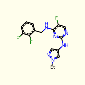 [CH2][CH]n1cc(Nc2ncc(F)c(NCc3cccc(F)c3F)n2)cn1